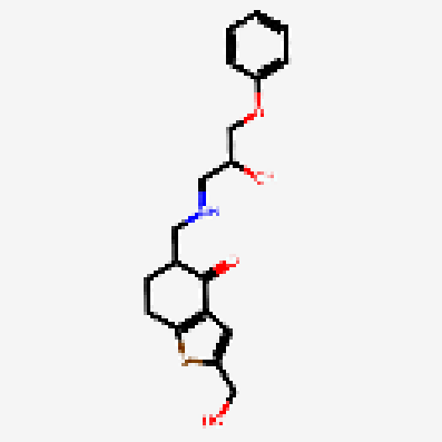 O=C1c2cc(CO)sc2CCC1CNCC(O)COc1ccccc1